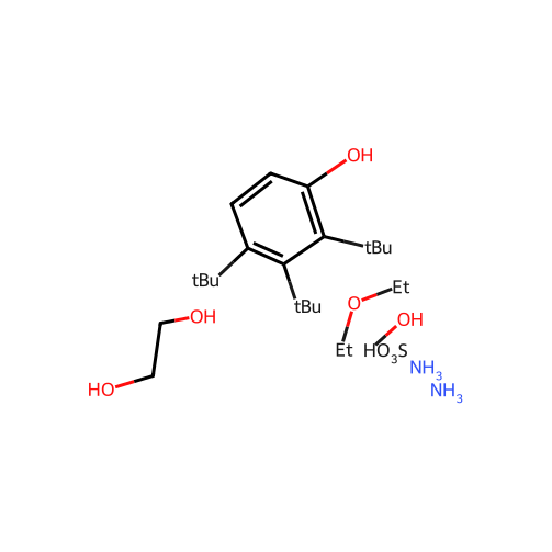 CC(C)(C)c1ccc(O)c(C(C)(C)C)c1C(C)(C)C.CCOCC.N.N.O=S(=O)(O)O.OCCO